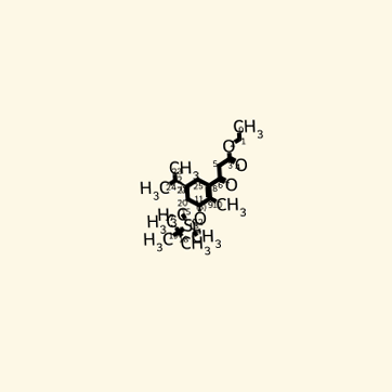 CCOC(=O)CC(=O)C1=C(C)[C@@H](O[Si](C)(C)C(C)(C)C)C[C@@H](C(C)C)C1